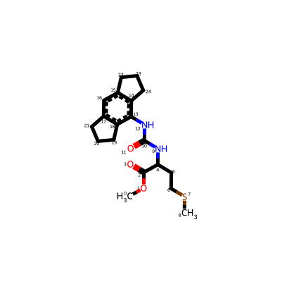 COC(=O)C(CCSC)NC(=O)Nc1c2c(cc3c1CCC3)CCC2